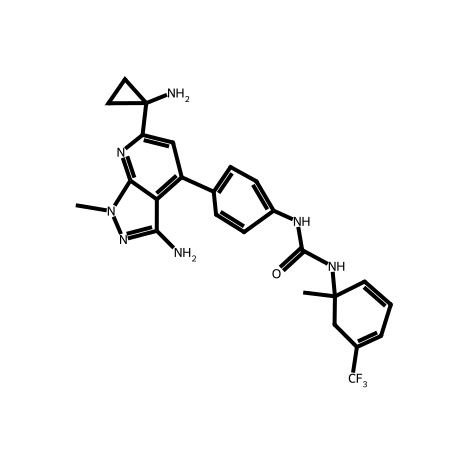 Cn1nc(N)c2c(-c3ccc(NC(=O)NC4(C)C=CC=C(C(F)(F)F)C4)cc3)cc(C3(N)CC3)nc21